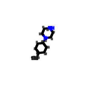 CC(C)(C)[C@H]1CC[C@H](N2CCNCC2)CC1